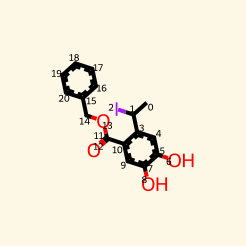 CC(I)c1cc(O)c(O)cc1C(=O)OCc1ccccc1